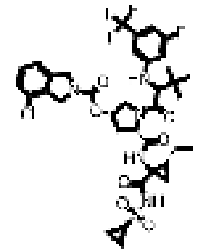 CC[C@@H]1CC1(NC(=O)[C@@H]1C[C@@H](OC(=O)N2Cc3cccc(Cl)c3C2)CN1C(=O)C(Nc1cc(F)cc(C(F)(F)F)c1)C(C)(C)C)C(=O)NS(=O)(=O)C1CC1